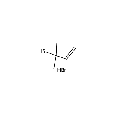 Br.C=CC(C)(C)S